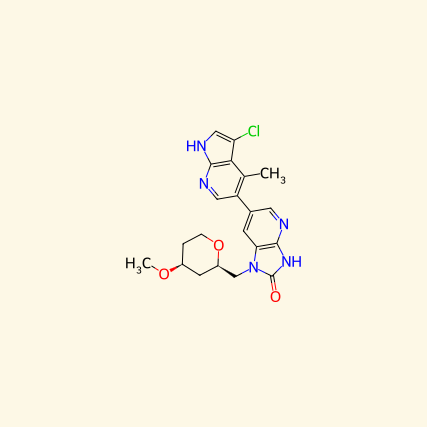 CO[C@H]1CCO[C@@H](Cn2c(=O)[nH]c3ncc(-c4cnc5[nH]cc(Cl)c5c4C)cc32)C1